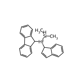 C[SiH](C)[Hf]([CH]1C=Cc2ccccc21)[CH]1c2ccccc2-c2ccccc21